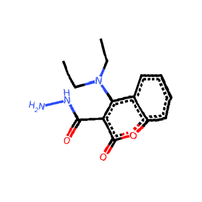 CCN(CC)c1c(C(=O)NN)c(=O)oc2ccccc12